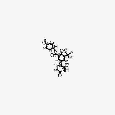 COc1ccc(NC(=O)c2cc(N3CCC(=O)NC3=O)cc(C(C)(C)C)c2OC)cc1